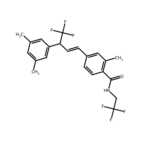 Cc1cc(C)cc(C(/C=C/c2ccc(C(=O)NCC(F)(F)F)c(C)c2)C(F)(F)F)c1